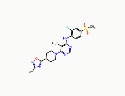 Cc1c(Nc2ccc(S(C)(=O)=O)cc2F)ncnc1N1CCC(c2nc(C(C)C)no2)CC1